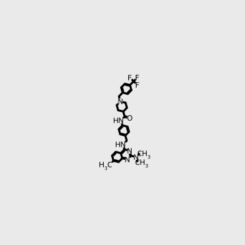 Cc1ccc2c(NCc3ccc(NC(=O)C4CCN(Cc5ccc(C(F)(F)F)cc5)CC4)cc3)nc(N(C)C)nc2c1